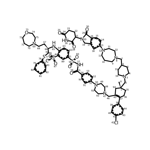 C[C@@]1(CN2CCC(CN3CCCN(c4ccc5c(c4)CN(C4CCC(=O)NC4=O)C5=O)CC3)CC2)CCC(c2ccc(Cl)cc2)=C(CN2CCN(c3ccc(C(=O)NS(=O)(=O)c4ccc(N[C@H](CCN5CCCOCC5)CSc5ccccc5)c(S(=O)(=O)C(F)(F)F)c4)cc3)CC2)C1